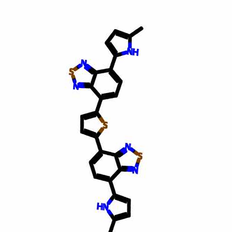 Cc1ccc(-c2ccc(-c3ccc(-c4ccc(-c5ccc(C)[nH]5)c5nsnc45)s3)c3nsnc23)[nH]1